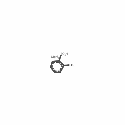 Cc1ccccc1S(=O)(=O)O.[MgH2]